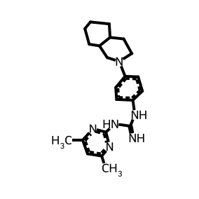 Cc1cc(C)nc(NC(=N)Nc2ccc(N3CCC4CCCCC4C3)cc2)n1